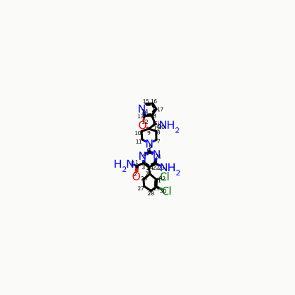 NC(=O)c1nc(N2CCC3(CC2)Oc2ncccc2[C@@H]3N)nc(N)c1C1CCCC(Cl)=C1Cl